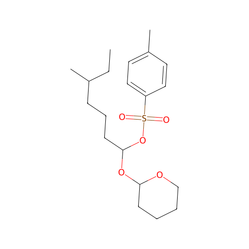 CCC(C)CCCC(OC1CCCCO1)OS(=O)(=O)c1ccc(C)cc1